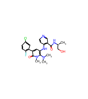 C[C@@H](CO)NC(=O)c1cnccc1Nc1cc(-c2cc(Cl)ccc2F)c(=O)n(C)c1N(C)C